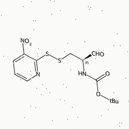 CC(C)(C)OC(=O)N[C@H](C=O)CSSc1ncccc1[N+](=O)[O-]